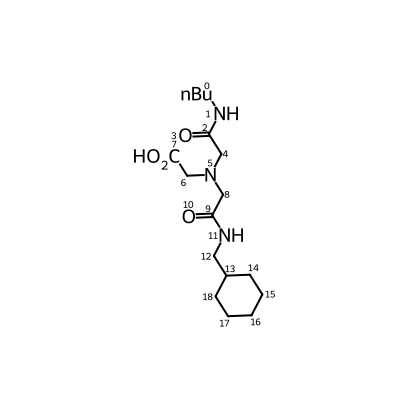 CCCCNC(=O)CN(CC(=O)O)CC(=O)NCC1CCCCC1